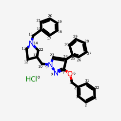 Cl.c1ccc(COc2nn(CC3CCN(Cc4ccccc4)C3)cc2-c2ccccc2)cc1